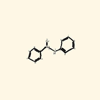 [O-][S+](Nc1ccccc1)c1ccccc1